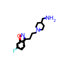 NCC1CCN(CCCc2noc3cc(F)ccc23)CC1